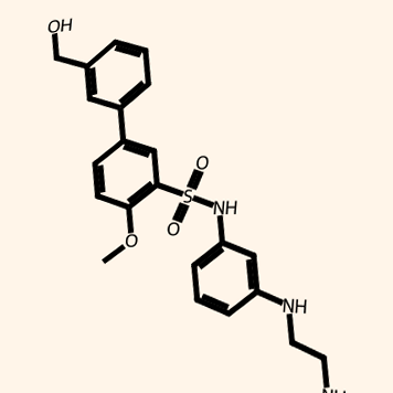 COc1ccc(-c2cccc(CO)c2)cc1S(=O)(=O)Nc1cccc(NCCN)c1